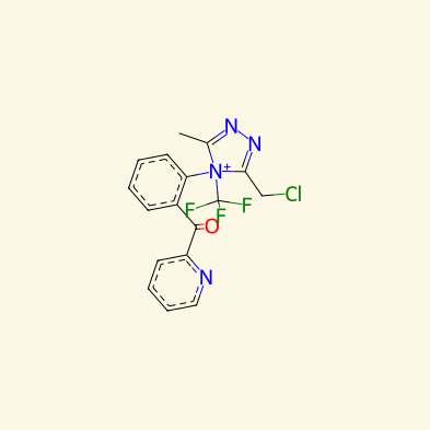 CC1=NN=C(CCl)[N+]1(c1ccccc1C(=O)c1ccccn1)C(F)(F)F